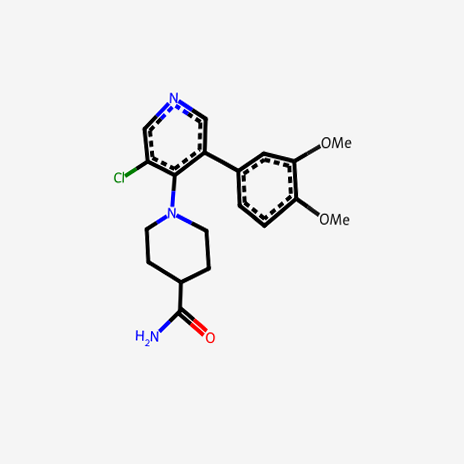 COc1ccc(-c2cncc(Cl)c2N2CCC(C(N)=O)CC2)cc1OC